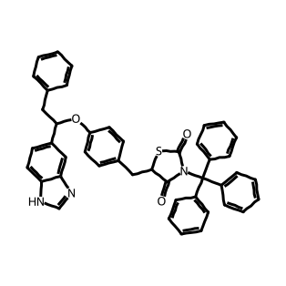 O=C1SC(Cc2ccc(OC(Cc3ccccc3)c3ccc4[nH]cnc4c3)cc2)C(=O)N1C(c1ccccc1)(c1ccccc1)c1ccccc1